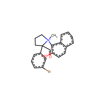 C[N+]1(c2c(O)ccc3ccccc23)CCCC1(C=O)c1cccc(Br)c1